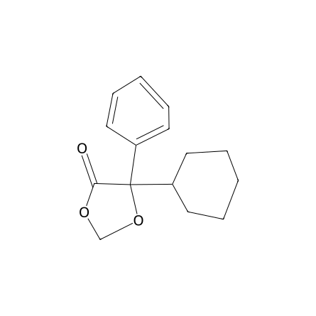 O=C1OCOC1(c1ccccc1)C1CCCCC1